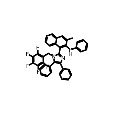 Cc1cc2ccccc2c(-c2nc(-c3ccccc3)c(-c3ccccc3)n2Cc2c(F)c(F)c(F)c(F)c2F)c1Pc1ccccc1